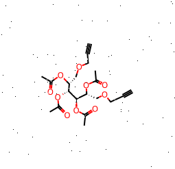 C#CCOC[C@@H](OC(C)=O)[C@@H](OC(C)=O)[C@H](OC(C)=O)[C@@H](COCC#C)OC(C)=O